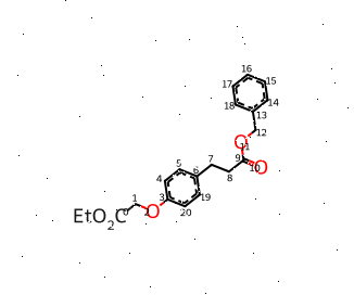 CCOC(=O)COc1ccc(CCC(=O)OCc2ccccc2)cc1